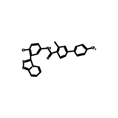 Cc1cc(-c2ccc(C(F)(F)F)cc2)ccc1C(=O)Nc1ccc(Cl)c(-c2nnc3ccccn23)c1